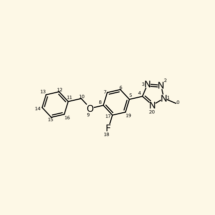 Cn1nnc(-c2ccc(OCc3ccccc3)c(F)c2)n1